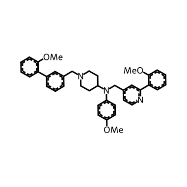 COc1ccc(N(Cc2ccnc(-c3ccccc3OC)c2)C2CCN(Cc3cccc(-c4ccccc4OC)c3)CC2)cc1